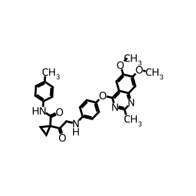 COc1cc2nc(C)nc(Oc3ccc(NCC(=O)C4(C(=O)Nc5ccc(C)cc5)CC4)cc3)c2cc1OC